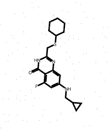 O=c1[nH]c(CSC2CCCCC2)nc2cc(NCC3CC3)cc(F)c12